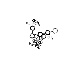 CCC1=Cc2c(-c3ccc(C4CCCCC4)cc3)cccc2[CH]1[Zr]([Cl])([Cl])([CH]1C(C2CCC(C)CC2)=Cc2c(-c3ccc(C(C)(C)C)cc3)cccc21)[SiH](C)C